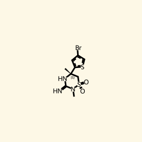 CN1C(=N)N[C@](C)(c2cc(Br)cs2)CS1(=O)=O